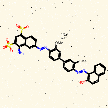 COc1cc(-c2ccc(N=Nc3c(O)ccc4ccccc34)c(OC)c2)ccc1N=Nc1ccc2c(S(=O)[O-])cc(S(=O)(=O)[O-])c(N)c2c1.[Na+].[Na+]